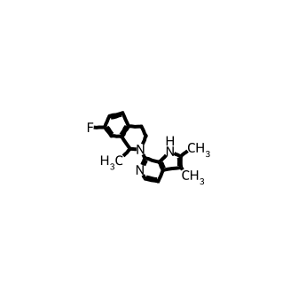 Cc1[nH]c2c(N3CCc4ccc(F)cc4C3C)nccc2c1C